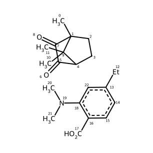 CC12CCC(C(=O)C1=O)C2(C)C.CCc1ccc(C(=O)O)c(N(C)C)c1